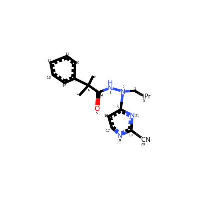 CC(C)CN(NC(=O)C(C)(C)c1ccccc1)c1ccnc(C#N)n1